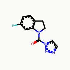 O=C(N1CCc2ccc(F)cc21)n1ccnn1